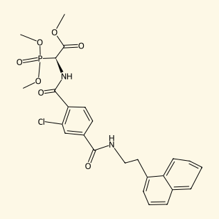 COC(=O)[C@@H](NC(=O)c1ccc(C(=O)NCCc2cccc3ccccc23)cc1Cl)P(=O)(OC)OC